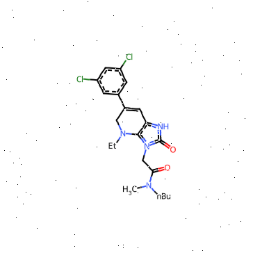 CCCCN(C)C(=O)Cn1c2c([nH]c1=O)C=C(c1cc(Cl)cc(Cl)c1)CN2CC